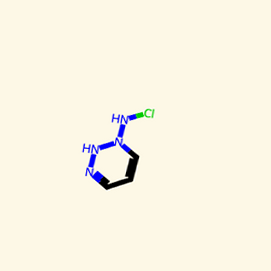 ClNN1C=CC=NN1